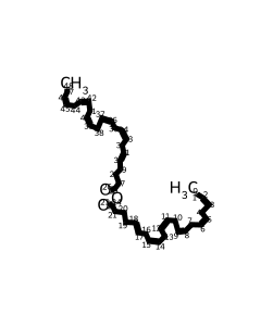 CC/C=C\C/C=C\C/C=C\C/C=C\C/C=C\CC=CCCCC(=O)OC(=O)CCCC=CC/C=C\C/C=C\C/C=C\C/C=C\C/C=C\CC